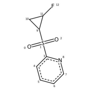 O=S(=O)(c1ccccn1)C1CC1F